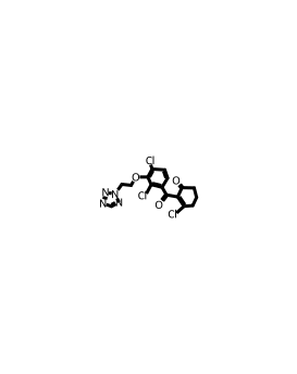 O=C1CCCC(Cl)=C1C(=O)c1ccc(Cl)c(OCCn2ncnn2)c1Cl